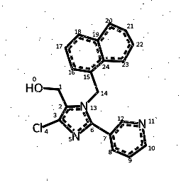 OCc1c(Cl)nc(-c2cccnc2)n1Cc1cccc2ccccc12